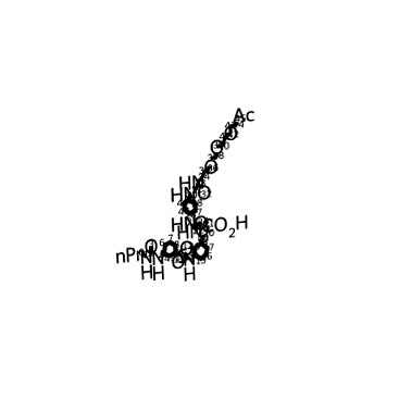 CCCNC(=O)Nc1cccc(S(=O)(=O)Nc2cccc([C@@H](CC(=O)O)NC(=O)Nc3ccc(NC(=O)NCCOCCOCCOCCC(C)=O)cc3)c2)c1